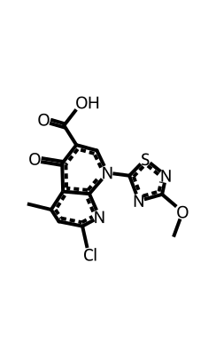 COc1nsc(-n2cc(C(=O)O)c(=O)c3c(C)cc(Cl)nc32)n1